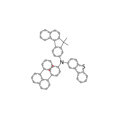 CC1(C)c2cc(N(c3ccc(-c4cccc5cccc(-c6ccccc6)c45)cc3)c3ccc4sc5ccccc5c4c3)ccc2-c2c1ccc1ccccc21